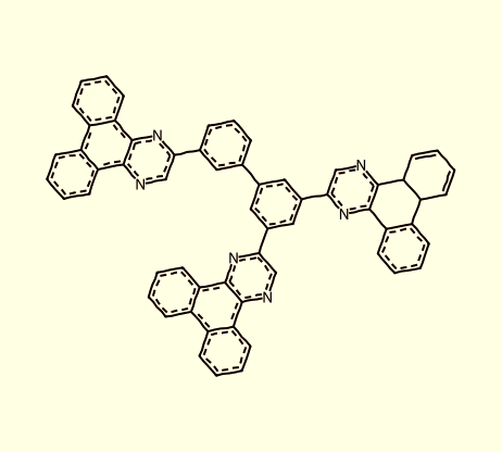 C1=CC2c3ccccc3-c3nc(-c4cc(-c5cccc(-c6cnc7c8ccccc8c8ccccc8c7n6)c5)cc(-c5cnc6c7ccccc7c7ccccc7c6n5)c4)cnc3C2C=C1